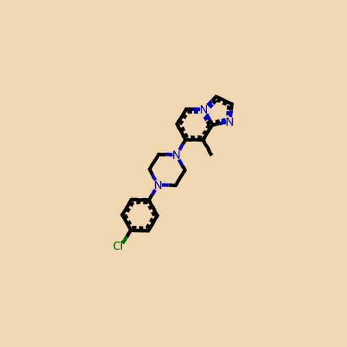 Cc1c(N2CCN(c3ccc(Cl)cc3)CC2)ccn2ccnc12